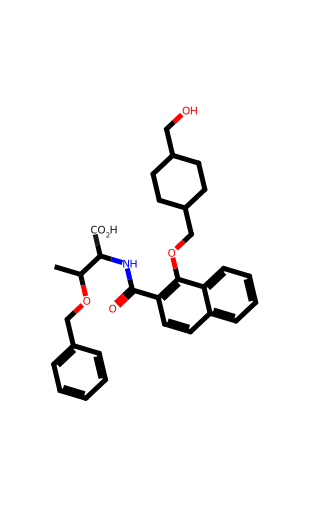 CC(OCc1ccccc1)C(NC(=O)c1ccc2ccccc2c1OCC1CCC(CO)CC1)C(=O)O